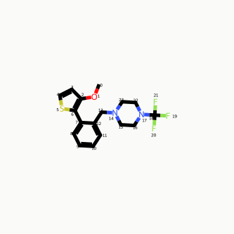 COc1ccsc1-c1ccccc1CN1CCN(C(F)(F)F)CC1